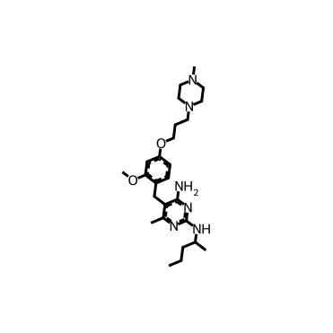 CCCC(C)Nc1nc(C)c(Cc2ccc(OCCCN3CCN(C)CC3)cc2OC)c(N)n1